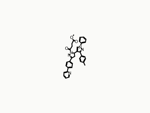 COC(=O)CCC(=O)N1N=C(c2ccc(-c3ccccn3)cc2)CC1c1cn(-c2ccccc2)nc1-c1ccc(C)cc1